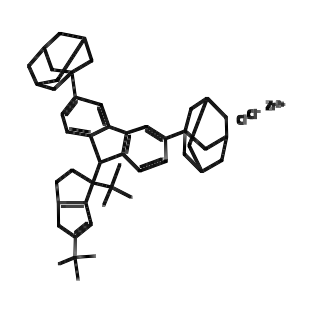 CC(C)(C)C1=CC2=C(CCC2(C2c3ccc(C45CC6CC(CC(C6)C4)C5)cc3-c3cc(C45CC6CC(CC(C6)C4)C5)ccc32)C(C)(C)C)C1.[Cl-].[Cl-].[Zr+2]